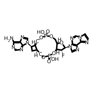 Nc1ncnc2c1ncn2[C@@H]1C[C@@H]2COP(=O)(O)O[C@H]3[C@@H](F)[C@H](n4cnc5c4ncn4ccnc54)O[C@@H]3COP(=O)(O)OC[C@H]21